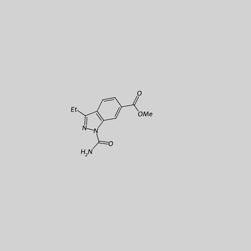 CCc1nn(C(N)=O)c2cc(C(=O)OC)ccc12